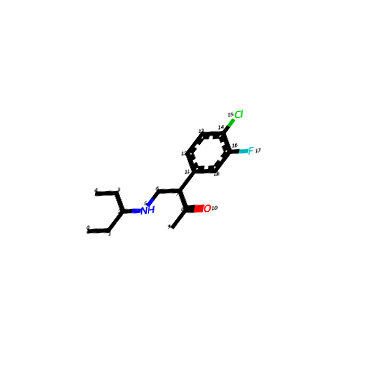 CCC(CC)NCC(C(C)=O)c1ccc(Cl)c(F)c1